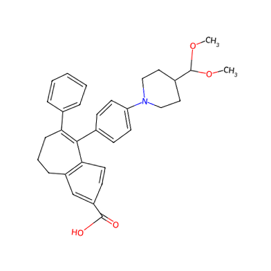 COC(OC)C1CCN(c2ccc(C3=C(c4ccccc4)CCCc4cc(C(=O)O)ccc43)cc2)CC1